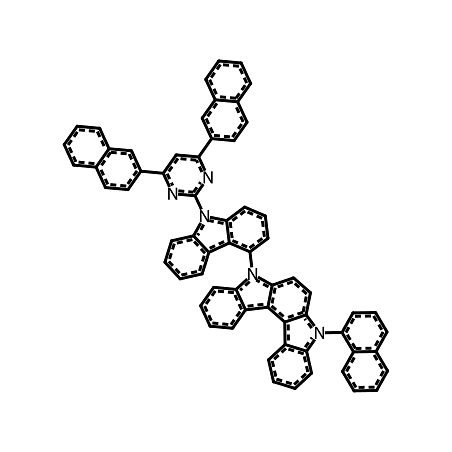 c1ccc2cc(-c3cc(-c4ccc5ccccc5c4)nc(-n4c5ccccc5c5c(-n6c7ccccc7c7c8c9ccccc9n(-c9cccc%10ccccc9%10)c8ccc76)cccc54)n3)ccc2c1